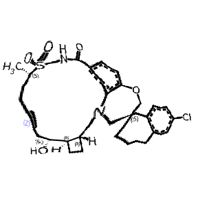 C[C@H]1CC/C=C\[C@@H](O)[C@@H]2CC[C@H]2CN2C[C@@]3(CCCc4cc(Cl)ccc43)COc3ccc(cc32)C(=O)NS1(=O)=O